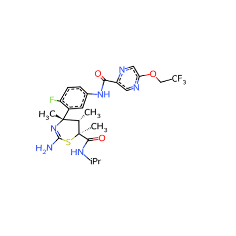 CC(C)NC(=O)[C@@]1(C)SC(N)=N[C@](C)(c2cc(NC(=O)c3cnc(OCC(F)(F)F)cn3)ccc2F)[C@@H]1C